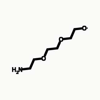 NCCOCCOCC[O]